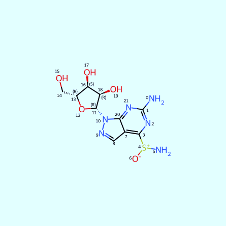 Nc1nc([S+](N)[O-])c2cnn([C@@H]3O[C@H](CO)[C@@H](O)[C@H]3O)c2n1